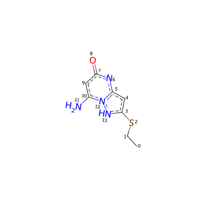 CCSc1cc2nc(=O)cc(N)n2[nH]1